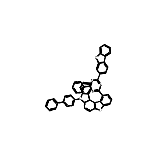 C1=CC2C(c3ccccc3N2c2ccc(-c3ccccc3)cc2)c2c1oc1cccc(-c3nc(-c4ccccc4)nc(-c4ccc5c(c4)oc4ccccc45)n3)c21